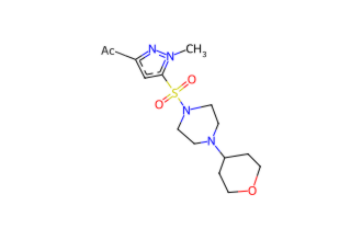 CC(=O)c1cc(S(=O)(=O)N2CCN(C3CCOCC3)CC2)n(C)n1